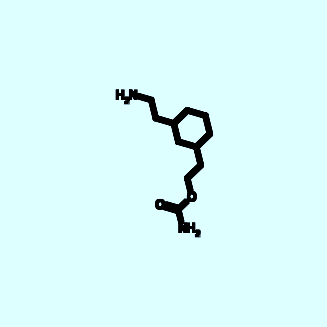 NCCC1CCCC(CCOC(N)=O)C1